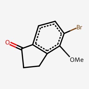 COc1c(Br)ccc2c1CCC2=O